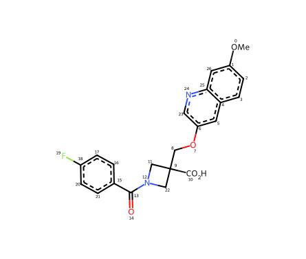 COc1ccc2cc(OCC3(C(=O)O)CN(C(=O)c4ccc(F)cc4)C3)cnc2c1